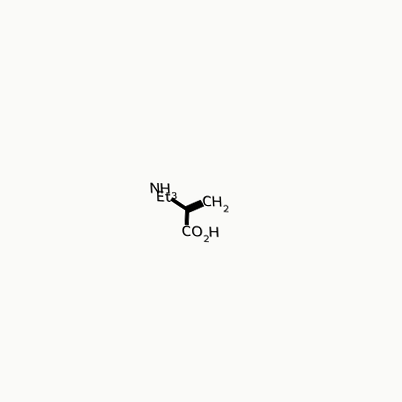 C=C(CC)C(=O)O.N